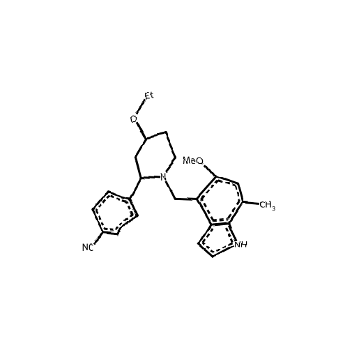 CCOC1CCN(Cc2c(OC)cc(C)c3[nH]ccc23)C(c2ccc(C#N)cc2)C1